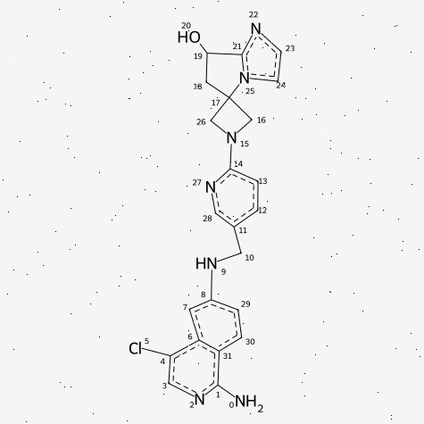 Nc1ncc(Cl)c2cc(NCc3ccc(N4CC5(CC(O)c6nccn65)C4)nc3)ccc12